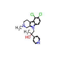 CN1CCc2c(n(CC(C)(O)c3ccncc3)c3ccc(Cl)c(Cl)c23)C1